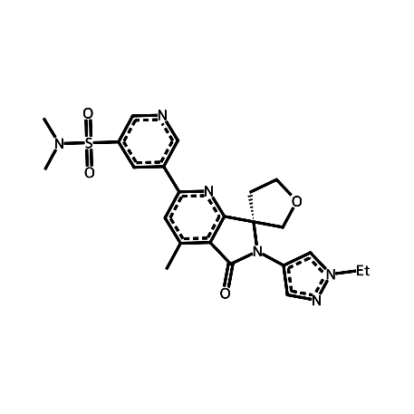 CCn1cc(N2C(=O)c3c(C)cc(-c4cncc(S(=O)(=O)N(C)C)c4)nc3[C@]23CCOC3)cn1